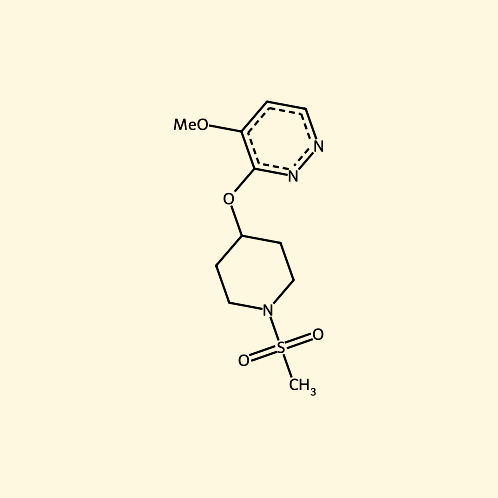 COc1ccnnc1OC1CCN(S(C)(=O)=O)CC1